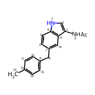 CC(=O)Nc1c[nH]c2ccc(Cc3ccc(C)cc3)cc12